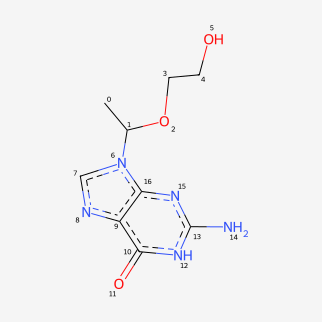 CC(OCCO)n1cnc2c(=O)[nH]c(N)nc21